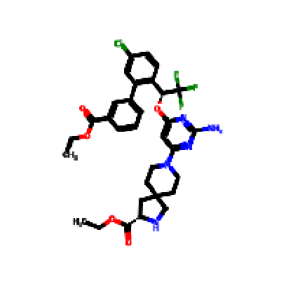 CCOC(=O)c1cccc(-c2cc(Cl)ccc2[C@@H](Oc2cc(N3CCC4(CC3)CN[C@H](C(=O)OCC)C4)nc(N)n2)C(F)(F)F)c1